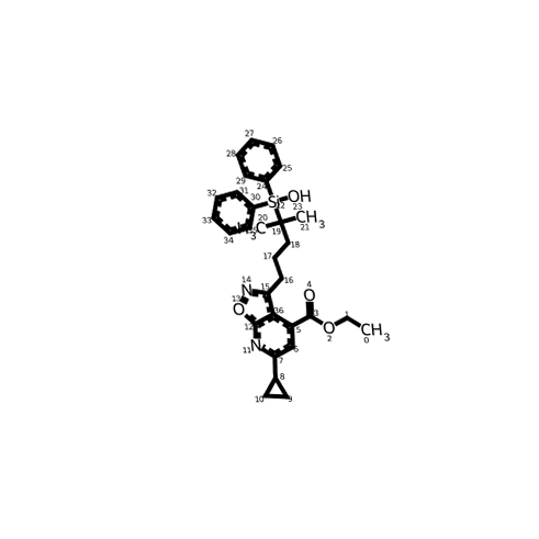 CCOC(=O)c1cc(C2CC2)nc2onc(CCCC(C)(C)[Si](O)(c3ccccc3)c3ccccc3)c12